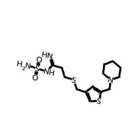 N=C(CCSCc1csc(CN2CCCCC2)c1)NS(N)(=O)=O